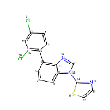 Clc1ccc(-c2cccc3c2ncn3-c2nccs2)c(Cl)c1